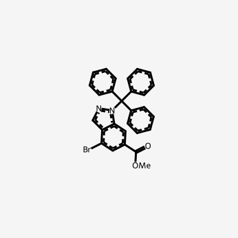 COC(=O)c1cc(Br)c2cnn(C(c3ccccc3)(c3ccccc3)c3ccccc3)c2c1